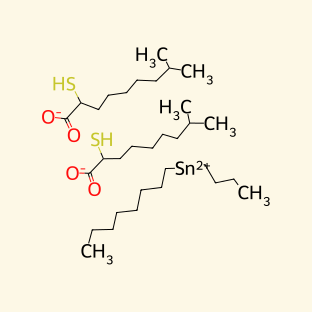 CC(C)CCCCCC(S)C(=O)[O-].CC(C)CCCCCC(S)C(=O)[O-].CCCCCCC[CH2][Sn+2][CH2]CCC